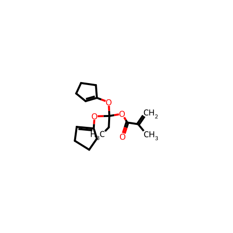 C=C(C)C(=O)OC(CC)(OC1=CCCC1)OC1=CCCC1